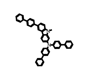 Cn1c2ccc(-c3ccc(-c4ccccc4)cc3)cc2c2ccc(N(c3ccc(-c4ccccc4)cc3)c3ccc(-c4ccccc4)cc3)cc21